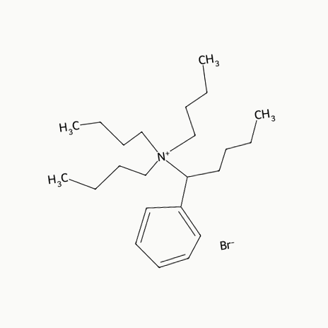 CCCCC(c1ccccc1)[N+](CCCC)(CCCC)CCCC.[Br-]